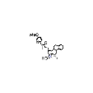 COc1ccc(NC(=O)CC[C@@H]2C/C(=N\O)[C@@]3(C)CCC4c5ccccc5CCC4C23)nc1